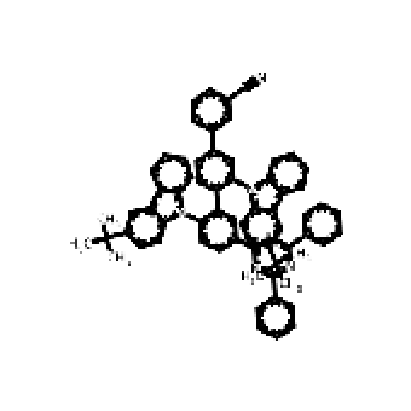 CC(C)(C)c1ccc2c(c1)c1ccccc1n2-c1ccc(-c2nc(-c3ccccc3)nc(-c3ccccc3)n2)cc1-c1ccc(-c2cccc(C#N)c2)cc1-n1c2ccccc2c2cc(C(C)(C)C)ccc21